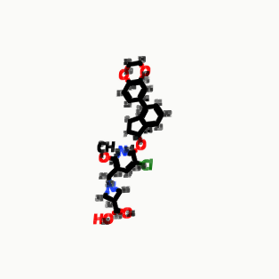 COc1nc(O[C@H]2CCc3c(-c4ccc5c(c4)OCCO5)cccc32)c(Cl)cc1CN1CC(C(=O)O)C1